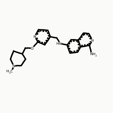 CN1CCC(COc2cc(CNc3ccc4c(N)nccc4c3)ccn2)CC1